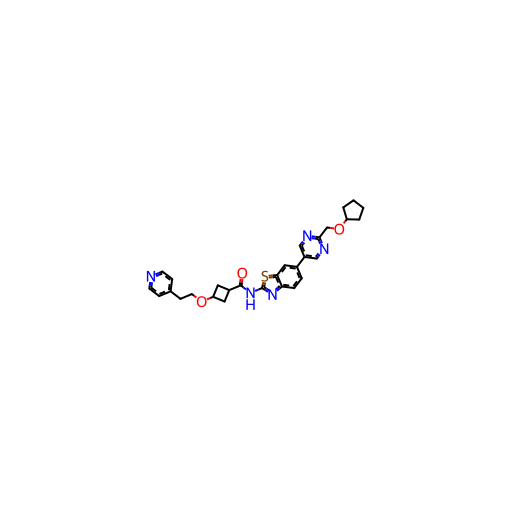 O=C(Nc1nc2ccc(-c3cnc(COC4CCCC4)nc3)cc2s1)C1CC(OCCc2ccncc2)C1